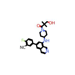 CC(C)(CO)C(=O)N1CCC(Nc2cc(-c3ccc(F)c(C#N)c3)cc3ccncc23)CC1